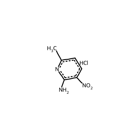 Cc1ccc([N+](=O)[O-])c(N)n1.Cl